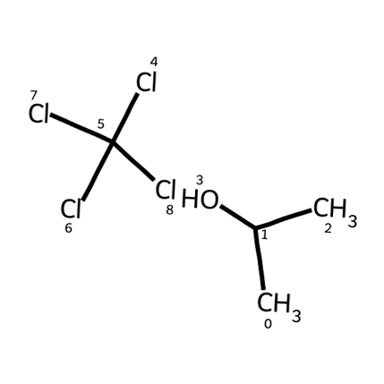 CC(C)O.ClC(Cl)(Cl)Cl